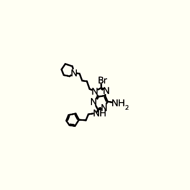 Nc1nc(NCCc2ccccc2)nc2c1nc(Br)n2CCCCN1CCCCC1